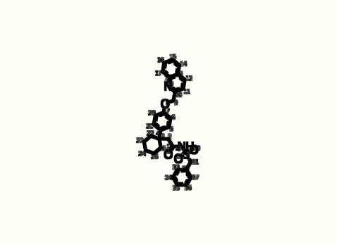 O=C(CC1(c2ccc(OCc3ccc4ccccc4n3)cc2)CCCCC1)NS(=O)(=O)Cc1ccccc1